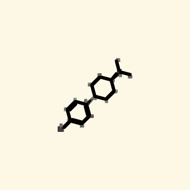 CCc1ccc([C@H]2CC[C@H](N(C)C)CC2)cc1